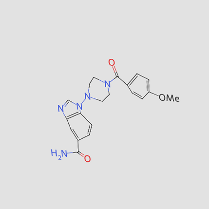 COc1ccc(C(=O)N2CCN(n3cnc4cc(C(N)=O)ccc43)CC2)cc1